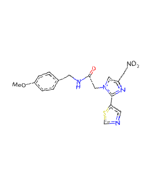 COc1ccc(CNC(=O)Cn2cc([N+](=O)[O-])nc2-c2cncs2)cc1